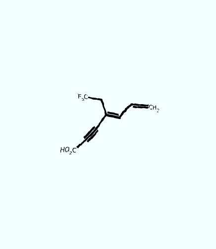 C=C/C=C(/C#CC(=O)O)CC(F)(F)F